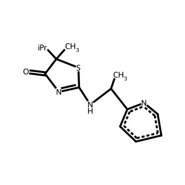 CC(NC1=NC(=O)C(C)(C(C)C)S1)c1ccccn1